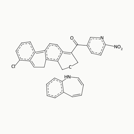 C1=CNc2ccccc2C=C1.O=C(C1=c2ccc3c(c2CCC1)CC=c1c(Cl)cccc1=3)c1ccc([N+](=O)[O-])nc1